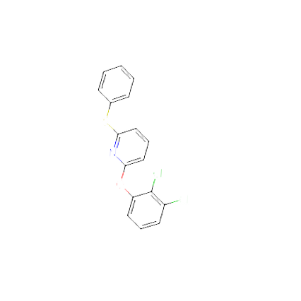 Clc1cccc(Oc2cc[c]c(Sc3ccccc3)n2)c1Cl